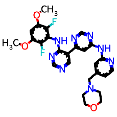 COc1cc(OC)c(F)c(Nc2ncncc2-c2cc(Nc3cc(CN4CCOCC4)ccn3)ncn2)c1F